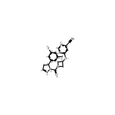 N#Cc1cc(OC2CN(C(=O)N3N=CCC3c3cc(F)cc(F)c3)C2)ncn1